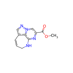 COC(=O)c1cn2ncc3c2c(n1)NCC=C3